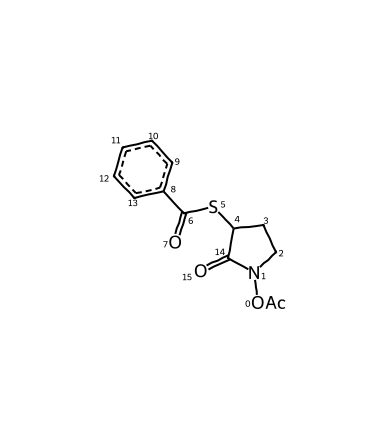 CC(=O)ON1CCC(SC(=O)c2ccccc2)C1=O